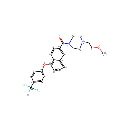 COCCN1CCN(C(=O)c2ccc3c(Oc4ccc(C(F)(F)F)cc4)cccc3c2)CC1